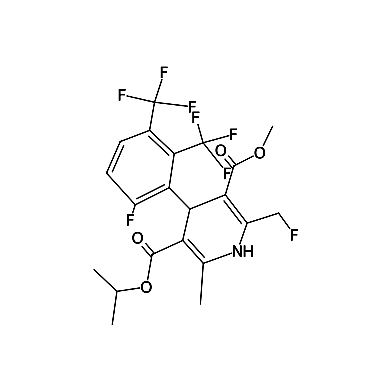 COC(=O)C1=C(CF)NC(C)=C(C(=O)OC(C)C)C1c1c(F)ccc(C(F)(F)F)c1C(F)(F)F